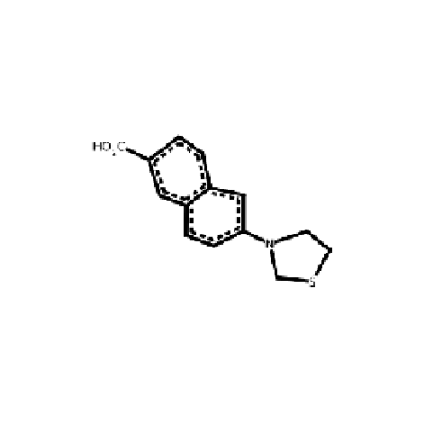 O=C(O)c1ccc2cc(N3CCSC3)ccc2c1